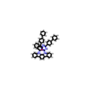 c1ccc(-c2ccc(-c3ccc(-n4c5ccccc5c5ccc6c7ccccc7n(-c7nc(-c8ccccc8)nc(-c8ccc(-c9ccccc9)cc8)n7)c6c54)cc3)cc2)cc1